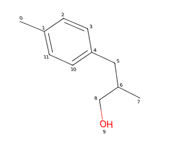 Cc1ccc(CC(C)CO)cc1